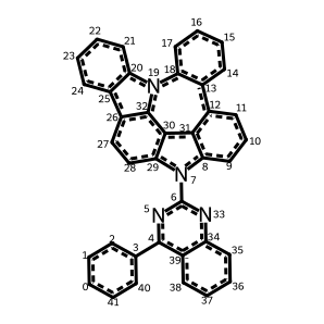 c1ccc(-c2nc(-n3c4cccc5c6ccccc6n6c7ccccc7c7ccc3c(c54)c76)nc3ccccc23)cc1